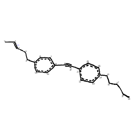 C/C=C/CCc1ccc(C#Cc2ccc(CCCCC)cc2)cc1